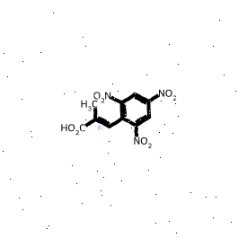 C/C(=C\c1c([N+](=O)[O-])cc([N+](=O)[O-])cc1[N+](=O)[O-])C(=O)O